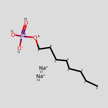 CCCCCCCCOP(=O)([O-])[O-].[Na+].[Na+]